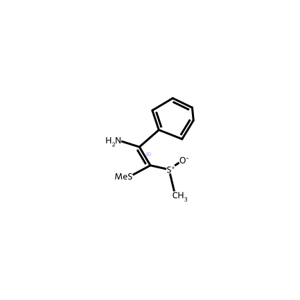 CS/C(=C(\N)c1ccccc1)[S+](C)[O-]